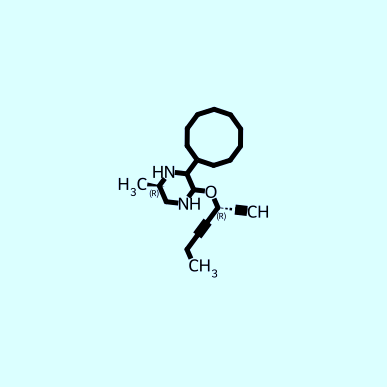 C#C[C@H](C#CCC)OC1NC[C@@H](C)NC1C1CCCCCCCCC1